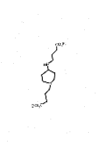 CCOC(=O)CCCNC1CCN(CCCC(=O)OCC)CC1